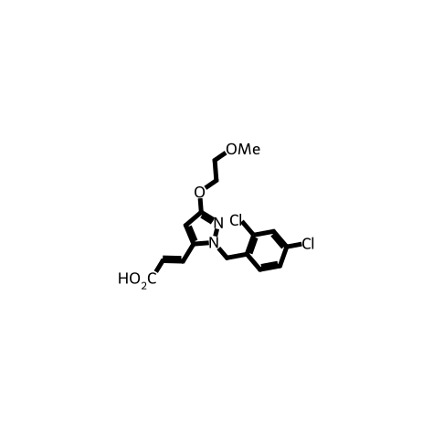 COCCOc1cc(/C=C/C(=O)O)n(Cc2ccc(Cl)cc2Cl)n1